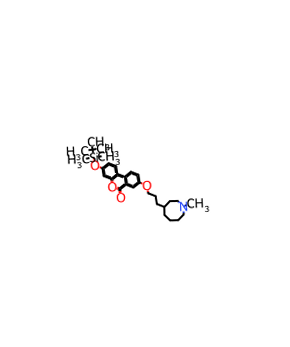 CN1CCCCC(CCCOc2ccc3c(c2)c(=O)oc2cc(O[Si](C)(C)C(C)(C)C)ccc23)CC1